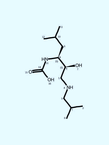 CC(C)CNC[C@H](O)[C@H](CC(C)C)NC(=O)O